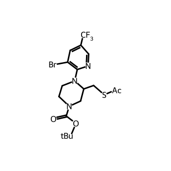 CC(=O)SCC1CN(C(=O)OC(C)(C)C)CCN1c1ncc(C(F)(F)F)cc1Br